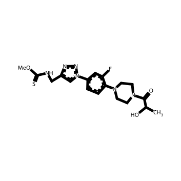 COC(=S)NCc1cn(-c2ccc(N3CCN(C(=O)C(C)O)CC3)c(F)c2)nn1